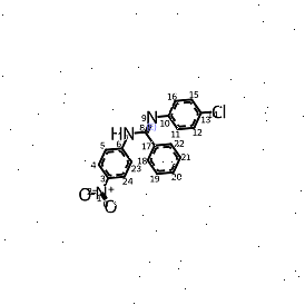 O=[N+]([O-])c1ccc(N/C(=N/c2ccc(Cl)cc2)c2ccccc2)cc1